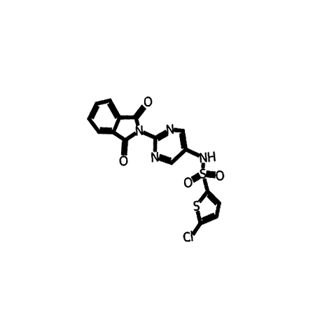 O=C1c2ccccc2C(=O)N1c1ncc(NS(=O)(=O)c2ccc(Cl)s2)cn1